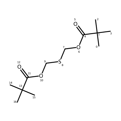 CC(C)(C)C(=O)OCSCOC(=O)C(C)(C)C